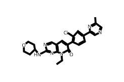 CCn1c(=O)c(-c2ccc(-c3cncc(C)n3)cc2Cl)cc2cnc(NC3CCOCC3)nc21